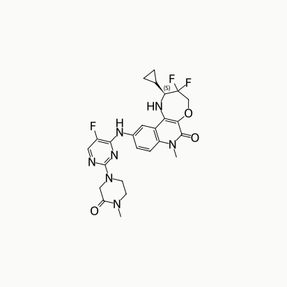 CN1CCN(c2ncc(F)c(Nc3ccc4c(c3)c3c(c(=O)n4C)OCC(F)(F)[C@H](C4CC4)N3)n2)CC1=O